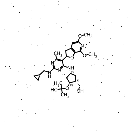 COc1cc2c(c(OC)n1)OC(c1c(C)nc(NCC3CC3)nc1N[C@@H]1C[C@H](CO)[C@@H](OC(C)(C)O)C1)C2